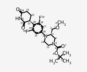 COC[C@H]1CN(C(=O)OC(C)(C)C)CCN1c1cc(F)c([C@@H]2CCC(=O)NC2=O)c(F)c1